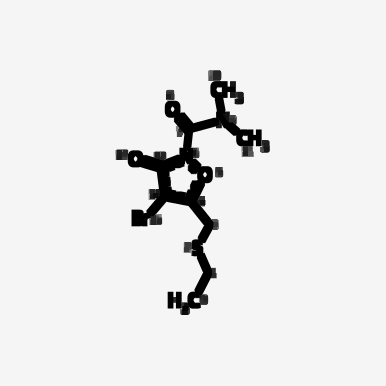 CCSCc1on(C(=O)N(C)C)c(=O)c1Br